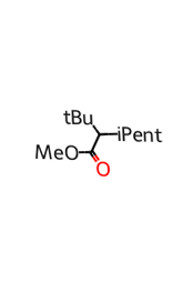 CCCC(C)C(C(=O)OC)C(C)(C)C